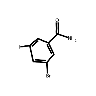 NC(=O)c1cc(Br)cc(I)c1